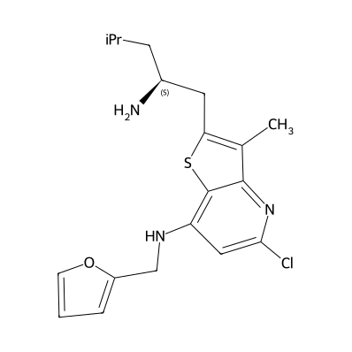 Cc1c(C[C@@H](N)CC(C)C)sc2c(NCc3ccco3)cc(Cl)nc12